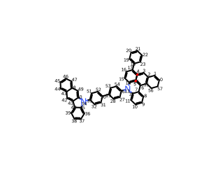 C1=Cc2cccc(-c3ccccc3N(c3ccc(-c4ccccc4)cc3)c3ccc(-c4ccc(-n5c6ccccc6c6cc7ccccc7cc65)cc4)cc3)c2CC1